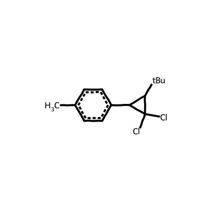 Cc1ccc(C2C(C(C)(C)C)C2(Cl)Cl)cc1